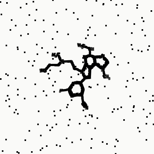 CNc1nc2c(cc(-c3cc(F)cc(C#N)c3)n2CCN(C)CCO)c2c1ncn2C